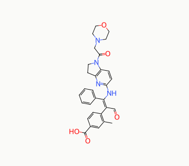 Cc1cc(C(=O)O)ccc1/C(C=O)=C(/Nc1ccc2c(n1)CCN2C(=O)CN1CCOCC1)c1ccccc1